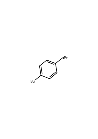 CC[CH]c1ccc(C(C)CC)cc1